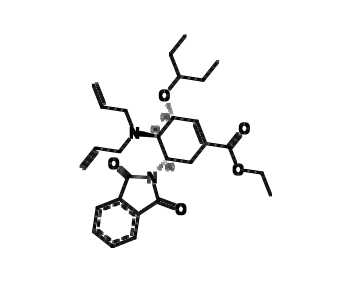 C=CCN(CC=C)[C@H]1[C@H](OC(CC)CC)C=C(C(=O)OCC)C[C@@H]1N1C(=O)c2ccccc2C1=O